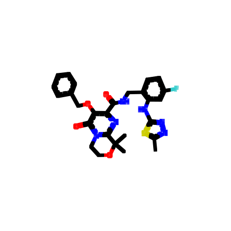 Cc1nnc(Nc2cc(F)ccc2CNC(=O)c2nc3n(c(=O)c2OCc2ccccc2)CCOC3(C)C)s1